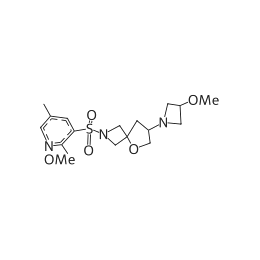 COc1ncc(C)cc1S(=O)(=O)N1CC2(CC(N3CC(OC)C3)CO2)C1